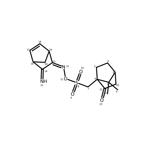 CC1(C)C2CCC1(CS(=O)(=O)ON=C1C(=N)C3C=CC1C3)C(=O)C2